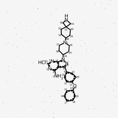 Cl.Nc1ncnc2c1c(-c1ccc(Oc3ccccc3)cc1)nn2C1CCN(C2CCC3(CC2)CNC3)CC1